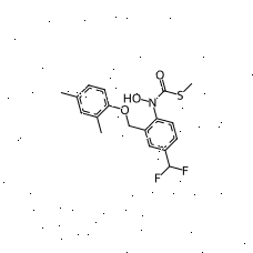 CSC(=O)N(O)c1ccc(C(F)F)cc1COc1ccc(C)cc1C